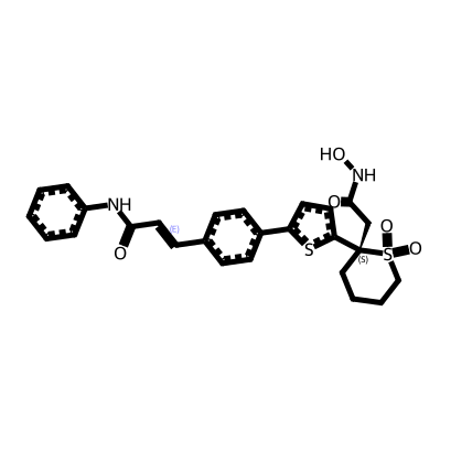 O=C(/C=C/c1ccc(-c2ccc([C@@]3(CC(=O)NO)CCCCS3(=O)=O)s2)cc1)Nc1ccccc1